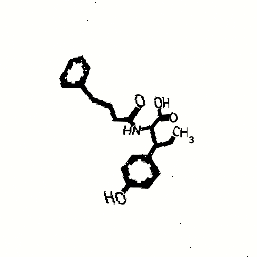 CCC(c1ccc(O)cc1)C(NC(=O)CCCc1ccccc1)C(=O)O